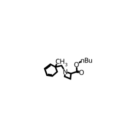 CCCCOC(=O)C1CCN1CC1(C)C=CC=CC1